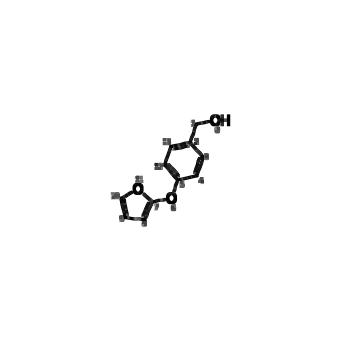 OCc1ccc(Oc2ccco2)cc1